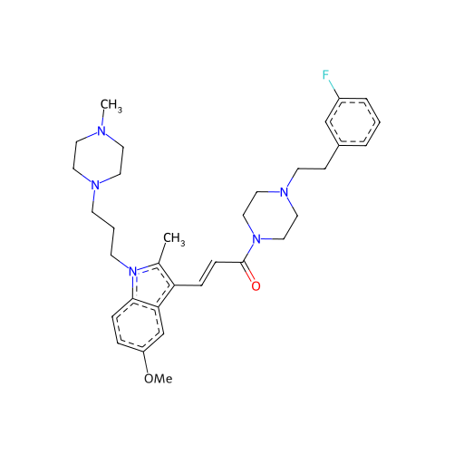 COc1ccc2c(c1)c(C=CC(=O)N1CCN(CCc3cccc(F)c3)CC1)c(C)n2CCCN1CCN(C)CC1